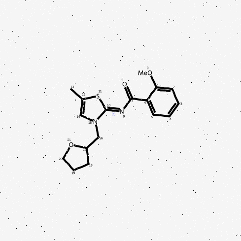 COc1ccccc1C(=O)/N=c1\sc(C)cn1CC1CCCO1